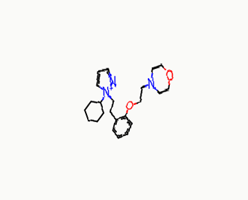 C1=C[N+](CCc2ccccc2OCCN2CCOCC2)(C2CCCCC2)N=C1